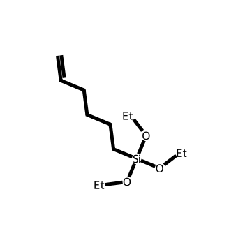 C=CCCCC[Si](OCC)(OCC)OCC